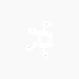 CCCCc1c(N)ccc(S)c1CCCC